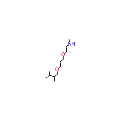 CNCCOCCCOCC(C)C(C)C